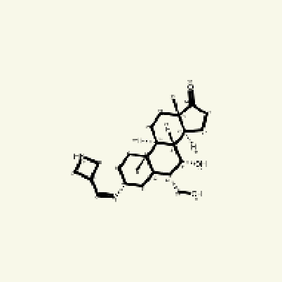 C[C@]12CC[C@@H](/C=C\C3CNC3)CC1[C@@H](CO)[C@@H](O)[C@@H]1[C@@H]2CC[C@]2(C)C(=O)CC[C@@H]12